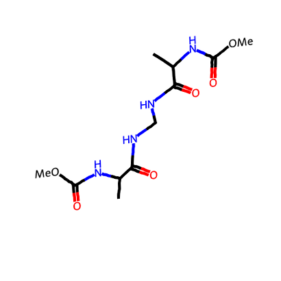 COC(=O)NC(C)C(=O)NCNC(=O)C(C)NC(=O)OC